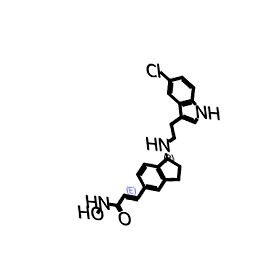 O=C(/C=C/c1ccc2c(c1)CC[C@H]2NCCc1c[nH]c2ccc(Cl)cc12)NO